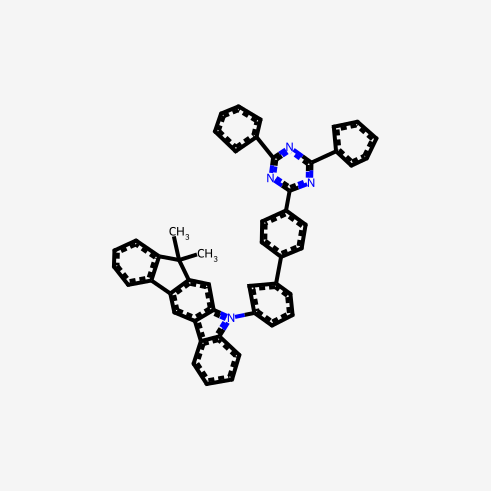 CC1(C)c2ccccc2-c2cc3c4ccccc4n(-c4cccc(-c5ccc(-c6nc(-c7ccccc7)nc(-c7ccccc7)n6)cc5)c4)c3cc21